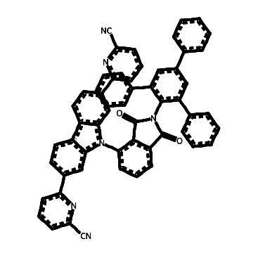 N#Cc1cccc(-c2ccc3c4ccc(-c5cccc(C#N)n5)cc4n(-c4cccc5c4C(=O)N(c4c(-c6ccccc6)cc(-c6ccccc6)cc4-c4ccccc4)C5=O)c3c2)n1